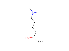 CCCCC[C@H](O)CCCCN(C)C